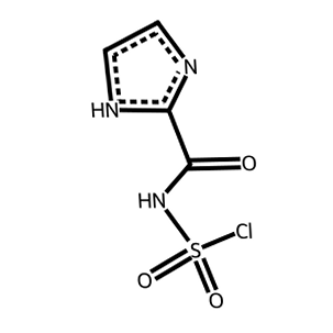 O=C(NS(=O)(=O)Cl)c1ncc[nH]1